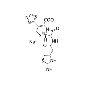 N=C1NC(CC(=O)NC2C(=O)N3C(C(=O)[O-])=C(c4nncs4)CS[C@@H]23)CS1.[Na+]